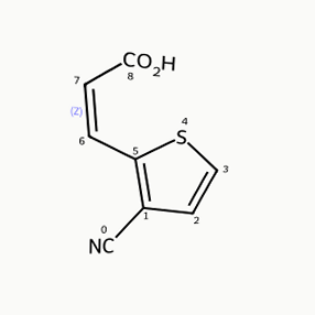 N#Cc1ccsc1/C=C\C(=O)O